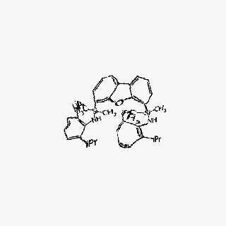 CC(C)c1cccc(C(C)C)c1N[Si](C)(C)c1cccc2c1oc1c([Si](C)(C)Nc3c(C(C)C)cccc3C(C)C)cccc12